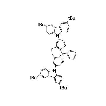 CC(C)(C)c1ccc2c(c1)c1cc(C(C)(C)C)ccc1n2-c1ccc2c(c1)CCc1cc(-n3c4ccc(C(C)(C)C)cc4c4cc(C(C)(C)C)ccc43)ccc1N2c1ccccc1